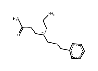 NCC[C@@H](CCC(N)=O)CSCc1ccccc1